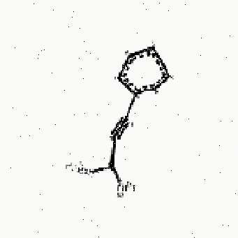 CCCCCCC(C#Cc1ccccc1)CCC